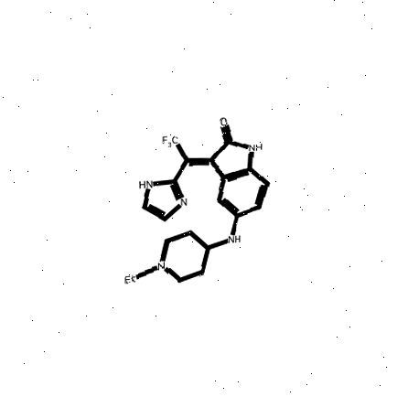 CCN1CCC(Nc2ccc3c(c2)C(=C(c2ncc[nH]2)C(F)(F)F)C(=O)N3)CC1